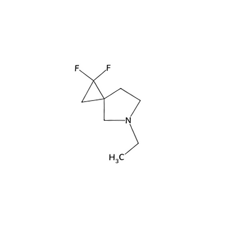 CCN1CCC2(C1)CC2(F)F